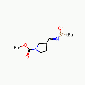 CC(C)(C)OC(=O)N1CC[C@H](/C=N/[S@+]([O-])C(C)(C)C)C1